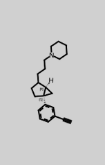 C#Cc1cccc([C@]23CCC(CCCN4CCCCC4)[C@H]2C3)c1